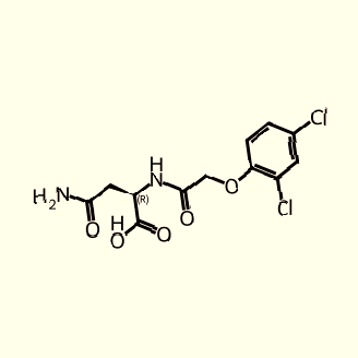 NC(=O)C[C@@H](NC(=O)COc1ccc(Cl)cc1Cl)C(=O)O